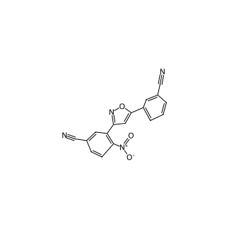 N#Cc1cccc(-c2cc(-c3cc(C#N)ccc3[N+](=O)[O-])no2)c1